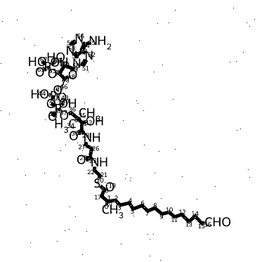 C[C@H](CCCCCCCCCCCCCCC=O)CC(=O)SCCNC(=O)CCNC(=O)C(O)C(C)(C)COP(=O)(O)OP(=O)(O)OC[C@H]1O[C@@H](n2cnc3c(N)ncnc32)[C@H](O)[C@@H]1OP(=O)(O)O